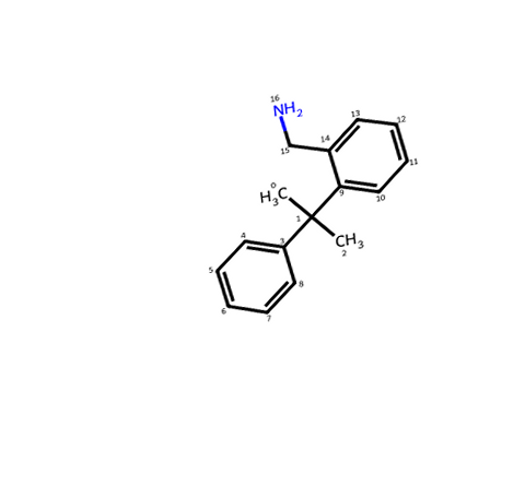 CC(C)(c1ccccc1)c1ccccc1CN